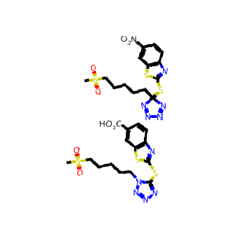 CS(=O)(=O)CCCCCC1(Sc2nc3ccc([N+](=O)[O-])cc3s2)N=NN=N1.CS(=O)(=O)CCCCCn1nnnc1Sc1nc2ccc(C(=O)O)cc2s1